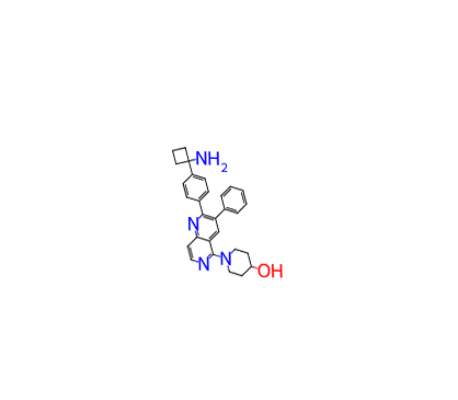 NC1(c2ccc(-c3nc4ccnc(N5CCC(O)CC5)c4cc3-c3ccccc3)cc2)CCC1